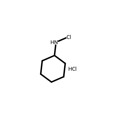 Cl.ClNC1CCCCC1